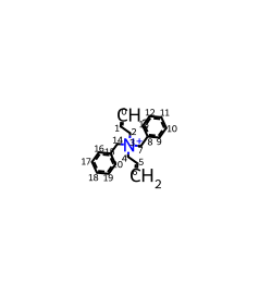 C=CC[N+](CC=C)(Cc1ccccc1)Cc1ccccc1